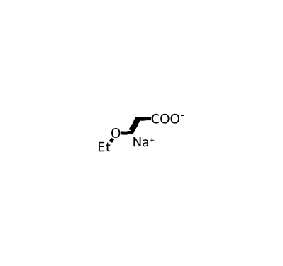 CCOC=CC(=O)[O-].[Na+]